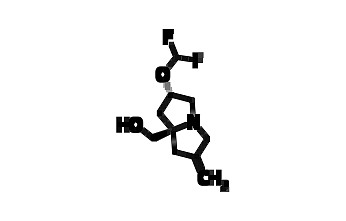 C=C1CN2C[C@@H](OC(F)F)C[C@@]2(CO)C1